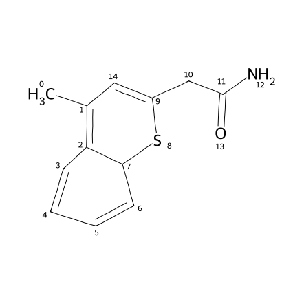 CC1=C2C=CC=CC2SC(CC(N)=O)=C1